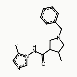 [CH2]c1cncn1NC(=O)C1CN(Cc2ccccc2)CC1C